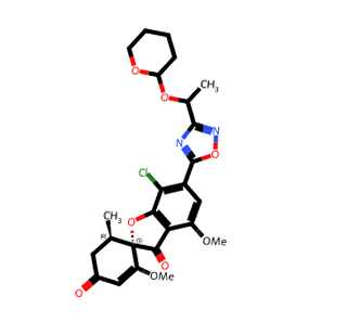 COC1=CC(=O)C[C@@H](C)[C@]12Oc1c(Cl)c(-c3nc(C(C)OC4CCCCO4)no3)cc(OC)c1C2=O